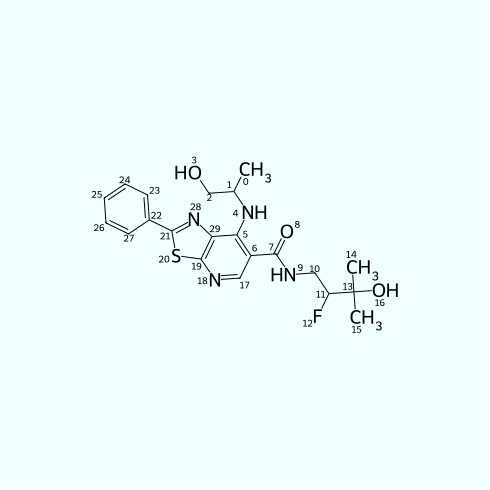 CC(CO)Nc1c(C(=O)NCC(F)C(C)(C)O)cnc2sc(-c3ccccc3)nc12